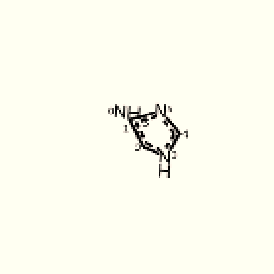 N.c1c[nH]cn1